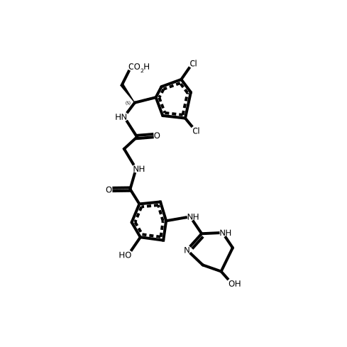 O=C(O)C[C@H](NC(=O)CNC(=O)c1cc(O)cc(NC2=NCC(O)CN2)c1)c1cc(Cl)cc(Cl)c1